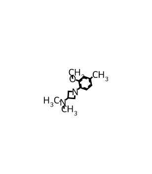 COc1cc(C)ccc1N1CC(N(C)C)C1